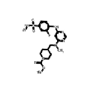 CC(C)NS(=O)(=O)c1ccc(Nc2cc(N(C)CC3CCN(C(=O)OC(C)(C)C)CC3)ncn2)c(F)c1